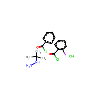 CC(C)(C)NN.Cl.O=C(Cl)c1ccccc1.O=C(Cl)c1ccccc1I